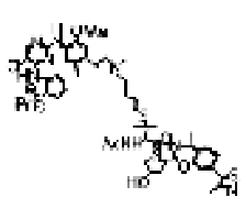 COc1cc(CCN(C)CCCCCSC(C)(C)[C@H](NC(C)=O)C(=O)N2C[C@H](O)C[C@H]2C(=O)N[C@@H](C)c2ccc(-c3scnc3C)cc2)c(C)cc1Nc1ncc(Cl)c(Nc2ccccc2S(=O)(=O)C(C)C)n1